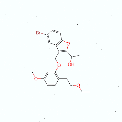 CCOCCc1ccc(OC)cc1OCc1c(C(C)O)oc2ccc(Br)cc12